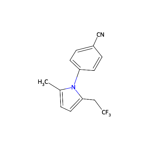 Cc1ccc(CC(F)(F)F)n1-c1ccc(C#N)cc1